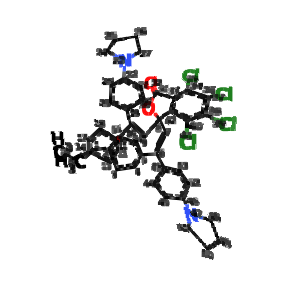 CCc1ccc(C(=CC2(C=C(c3ccc(CC)cc3)c3ccc(N4CCCC4)cc3)OC(=O)c3c(Cl)c(Cl)c(Cl)c(Cl)c32)c2ccc(N3CCCC3)cc2)cc1